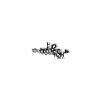 COc1ccc(C(C)(C)C)cc1NC(=O)Nc1ccc(-n2cnc3c(N(C)CCN(C)C)ncnc32)c2ccccc12